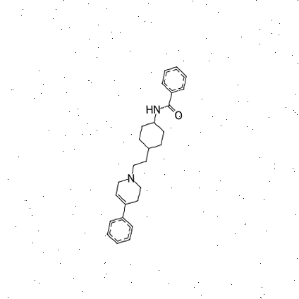 O=C(NC1CCC(CCN2CC=C(c3ccccc3)CC2)CC1)c1ccccc1